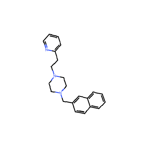 c1ccc(CCN2CCN(Cc3ccc4ccccc4c3)CC2)nc1